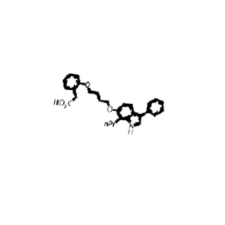 CCCc1c(OCCCCOc2ccccc2CC(=O)O)ccc2c(-c3ccccc3)c[nH]c12